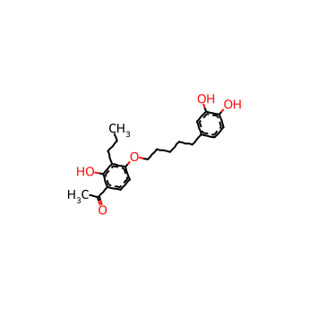 CCCc1c(OCCCCCc2ccc(O)c(O)c2)ccc(C(C)=O)c1O